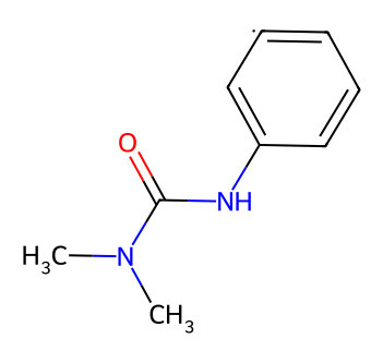 CN(C)C(=O)Nc1c[c]ccc1